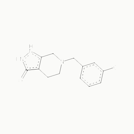 O=c1[nH][nH]c2c1CCN(Cc1cccc(Cl)c1)C2